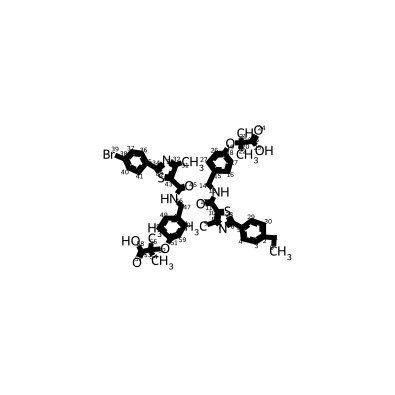 CCc1ccc(-c2nc(C)c(C(=O)NCc3ccc(OC(C)(C)C(=O)O)cc3)s2)cc1.Cc1nc(-c2ccc(Br)cc2)sc1C(=O)NCc1ccc(OC(C)(C)C(=O)O)cc1